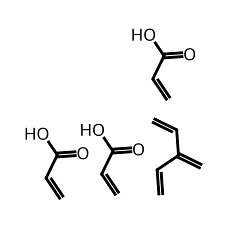 C=CC(=C)C=C.C=CC(=O)O.C=CC(=O)O.C=CC(=O)O